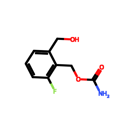 NC(=O)OCc1c(F)cccc1CO